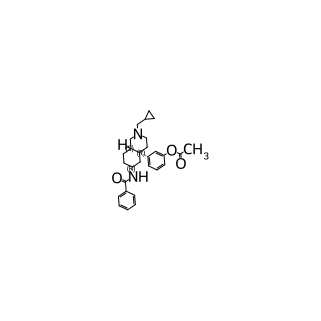 CC(=O)Oc1cccc([C@@]23CCN(CC4CC4)C[C@H]2CC[C@@H](NC(=O)c2ccccc2)C3)c1